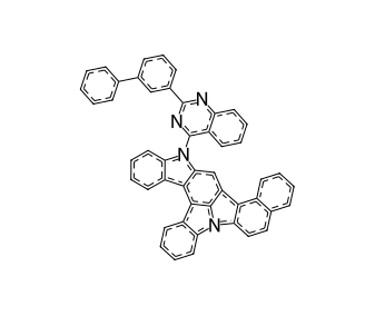 c1ccc(-c2cccc(-c3nc(-n4c5ccccc5c5c6c7ccccc7n7c8ccc9ccccc9c8c(cc54)c67)c4ccccc4n3)c2)cc1